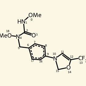 CONC(=O)N(Cc1ccc(N2C=C(C(F)(F)F)OC2)cc1)OC